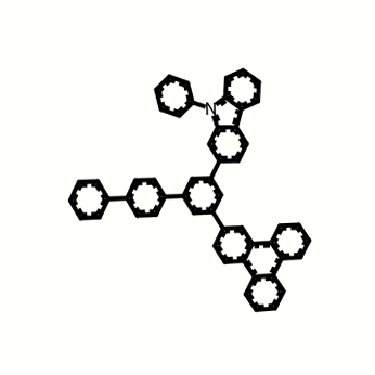 c1ccc(-c2ccc(-c3cc(-c4ccc5c6ccccc6c6ccccc6c5c4)cc(-c4ccc5c6ccccc6n(-c6ccccc6)c5c4)c3)cc2)cc1